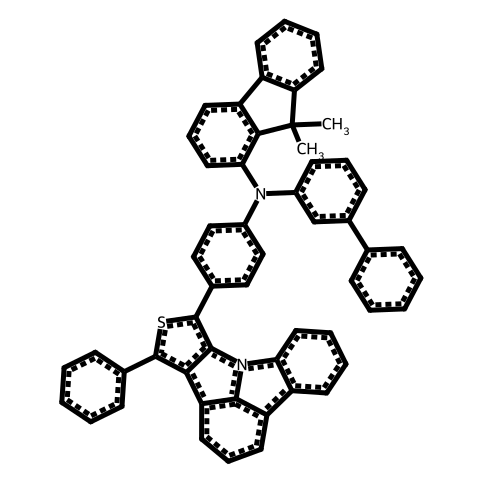 CC1(C)c2ccccc2-c2cccc(N(c3ccc(-c4sc(-c5ccccc5)c5c6cccc7c8ccccc8n(c45)c76)cc3)c3cccc(-c4ccccc4)c3)c21